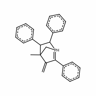 C=C1C(c2ccccc2)=[PH]2CC1(C)C(c1ccccc1)C2c1ccccc1